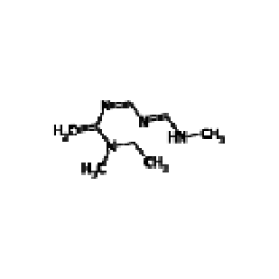 C=C(/N=C\N=C\NC)N(C)CC